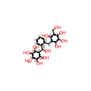 OCc1c(O)c(O)c(O)c(Cc2ccccc2C(O)c2c(O)c(O)c(O)c(O)c2O)c1O